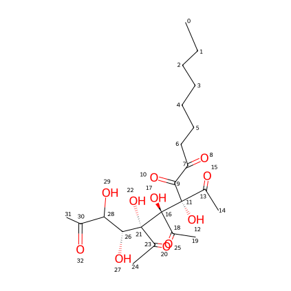 CCCCCCCC(=O)C(=O)[C@@](O)(C(C)=O)[C@](O)(C(C)=O)[C@@](O)(C(C)=O)[C@H](O)C(O)C(C)=O